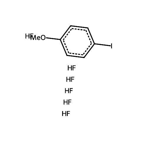 COc1ccc(I)cc1.F.F.F.F.F.F